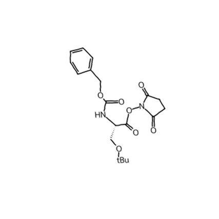 CC(C)(C)OC[C@H](NC(=O)OCc1ccccc1)C(=O)ON1C(=O)CCC1=O